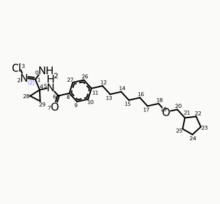 N/C(=N\Cl)C1(NC(=O)c2ccc(CCCCCCCOCC3CCCC3)cc2)CC1